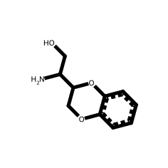 NC(CO)C1COc2ccccc2O1